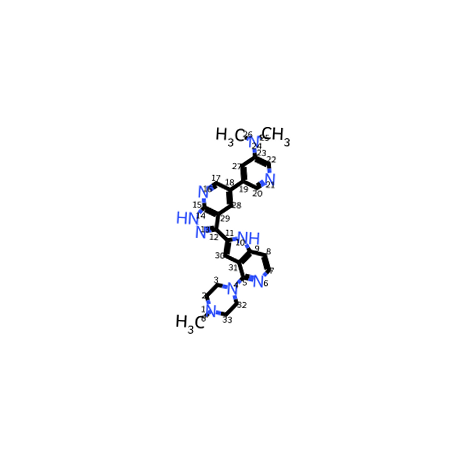 CN1CCN(c2nccc3[nH]c(-c4n[nH]c5ncc(-c6cncc(N(C)C)c6)cc45)cc23)CC1